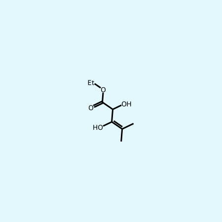 CCOC(=O)C(O)C(O)=C(C)C